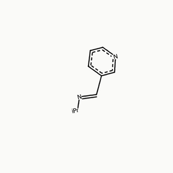 CC(C)N=Cc1cccnc1